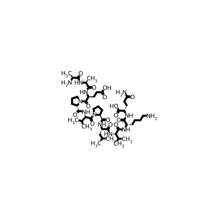 CC(C)C[C@H](NC(=O)[C@@H]1CCCN1C(=O)[C@@H](NC(=O)[C@@H]1CCCN1C(=O)[C@H](CCC(=O)O)NC(=O)[C@H](C)NC(=O)[C@H](C)N)C(C)C)C(=O)N[C@H](C(=O)N[C@@H](CCCCN)C(=O)N[C@@H](CCC(N)=O)C(=O)O)C(C)C